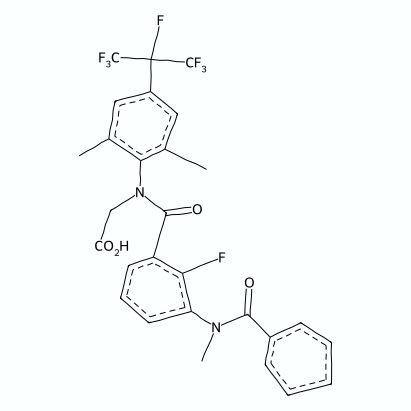 Cc1cc(C(F)(C(F)(F)F)C(F)(F)F)cc(C)c1N(CC(=O)O)C(=O)c1cccc(N(C)C(=O)c2ccccc2)c1F